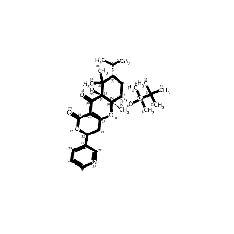 CC(C)[C@@H]1C[C@H](O[Si](C)(C)C(C)(C)C)[C@@]2(C)OC3=C(C(=O)OC(c4cccnc4)C3)C(=O)[C@@H]2C1(C)C